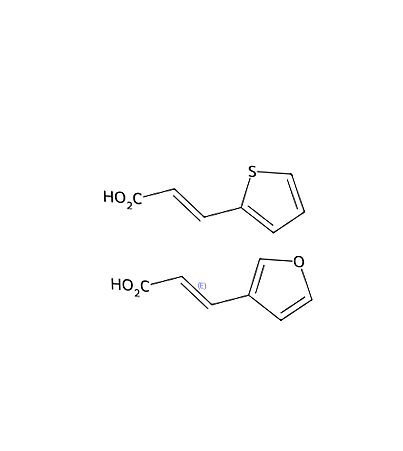 O=C(O)/C=C/c1ccoc1.O=C(O)C=Cc1cccs1